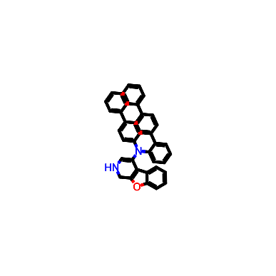 C1=C(N(c2ccc(-c3ccccc3)cc2)c2ccccc2-c2ccc(-c3ccccc3)cc2)c2c(oc3ccccc23)CN1